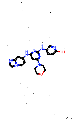 Oc1ccc(Nc2nc(Nc3ccn4ccnc4c3)cc(N3CCOCC3)n2)cn1